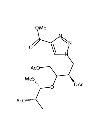 COC(=O)c1cn(C[C@@H](OC(C)=O)C(COC(C)=O)O[C@@H](SC)[C@H](C)OC(C)=O)nn1